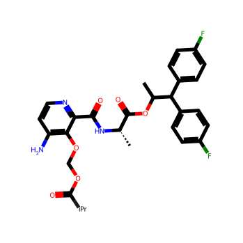 CC(C)C(=O)OCOc1c(N)ccnc1C(=O)N[C@@H](C)C(=O)OC(C)C(c1ccc(F)cc1)c1ccc(F)cc1